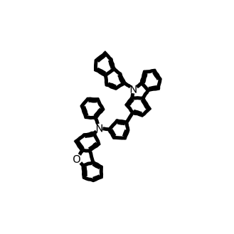 c1ccc(N(c2cccc(-c3ccc4c5ccccc5n(-c5ccc6ccccc6c5)c4c3)c2)c2ccc3oc4ccccc4c3c2)cc1